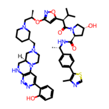 Cc1ncsc1-c1ccc([C@H](C)NC(=O)[C@@H]2C[C@@H](O)CN2C(=O)[C@@H](c2cc(O[C@H](C)CN3CCC[C@H](CN4CCN5c6cc(-c7ccccc7O)nnc6NC[C@H]5C4)C3)no2)C(C)C)cc1